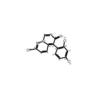 O=c1ncn2nc(Cl)ccc2c1-c1ccc(Cl)cc1Cl